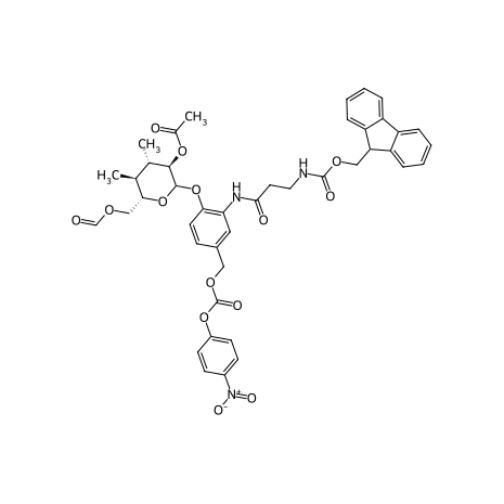 CC(=O)O[C@H]1C(Oc2ccc(COC(=O)Oc3ccc([N+](=O)[O-])cc3)cc2NC(=O)CCNC(=O)OCC2c3ccccc3-c3ccccc32)O[C@H](COC=O)[C@@H](C)[C@@H]1C